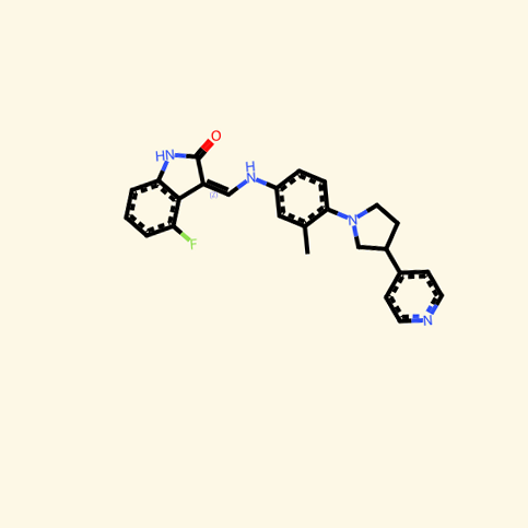 Cc1cc(N/C=C2\C(=O)Nc3cccc(F)c32)ccc1N1CCC(c2ccncc2)C1